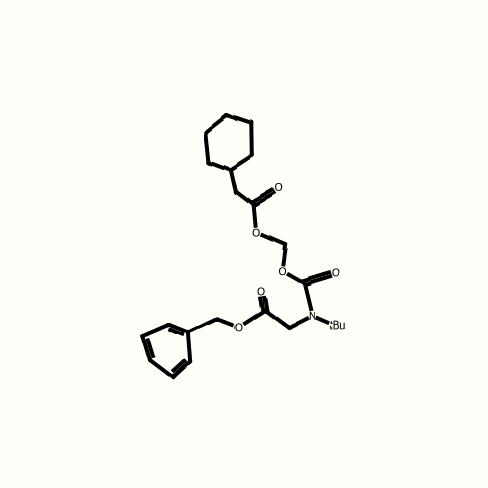 CC(C)(C)N(CC(=O)OCc1ccccc1)C(=O)OCOC(=O)CC1CCCCC1